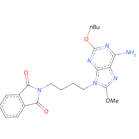 CCCCOc1nc(N)c2nc(OC)n(CCCCN3C(=O)c4ccccc4C3=O)c2n1